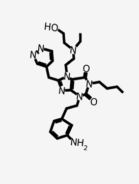 CCCCn1c(=O)c2c(nc(Cc3ccnnc3)n2CCN(CC)CCO)n(CCc2cccc(N)c2)c1=O